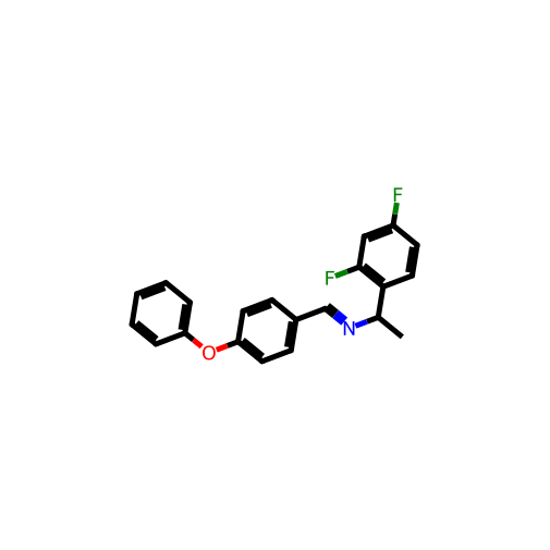 CC(N=Cc1ccc(Oc2ccccc2)cc1)c1ccc(F)cc1F